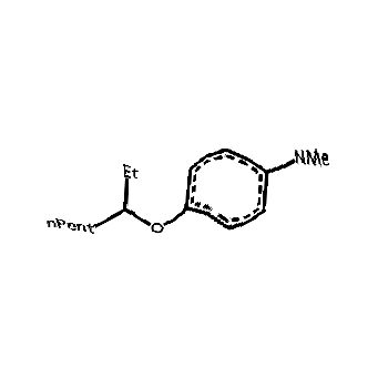 CCCCCC(CC)Oc1ccc(NC)cc1